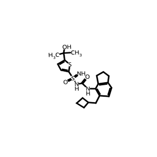 CC(C)(O)c1ccc([S@](=N)(=O)NC(=O)Nc2c(CC3CCC3)ccc3c2CCC3)s1